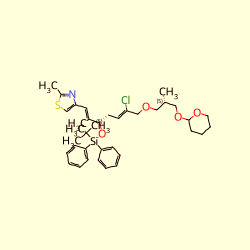 CC(=Cc1csc(C)n1)[C@H](CC=C(Cl)COC[C@H](C)COC1CCCCO1)O[Si](c1ccccc1)(c1ccccc1)C(C)(C)C